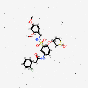 COc1ccc(CNS(=O)(=O)c2cc(NC(=O)Cc3ccccc3Cl)ccc2O[C@H]2CC[S@@+]([O-])C2)c(OC)c1